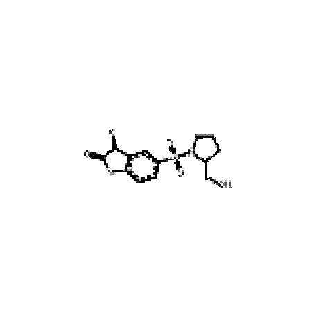 O=C1Nc2ccc(S(=O)(=O)N3CCCC3CO)cc2C1=O